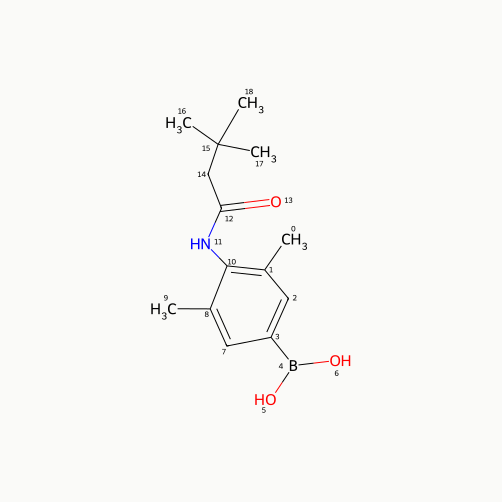 Cc1cc(B(O)O)cc(C)c1NC(=O)CC(C)(C)C